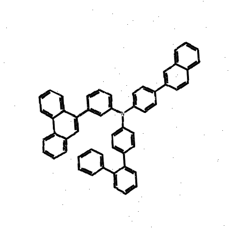 c1ccc(-c2ccccc2-c2ccc(N(c3ccc(-c4ccc5ccccc5c4)cc3)c3cccc(-c4cc5ccccc5c5ccccc45)c3)cc2)cc1